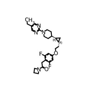 CCc1cnc(N2CCC([C@H]3C[C@@H]3CCOc3cc(F)c(CC(=O)N4CCC4)c(F)c3)CC2)nc1